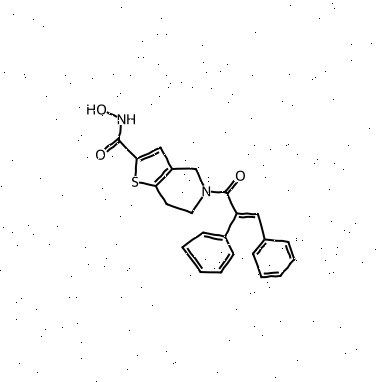 O=C(NO)c1cc2c(s1)CCN(C(=O)C(=Cc1ccccc1)c1ccccc1)C2